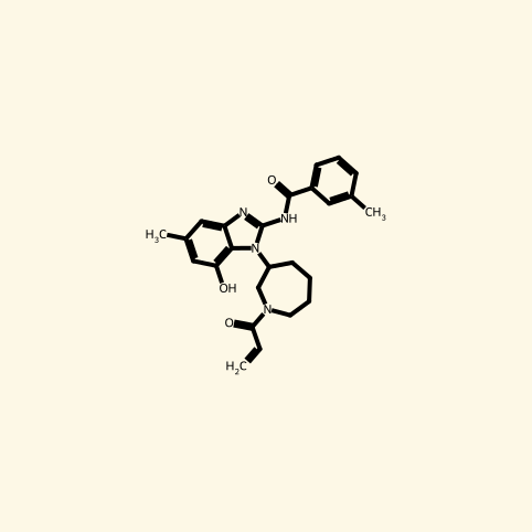 C=CC(=O)N1CCCCC(n2c(NC(=O)c3cccc(C)c3)nc3cc(C)cc(O)c32)C1